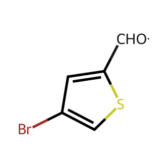 O=[C]c1cc(Br)cs1